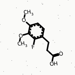 COc1ccc(CCC(=O)O)c(F)c1OC